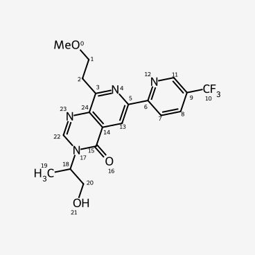 COCCc1nc(-c2ccc(C(F)(F)F)cn2)cc2c(=O)n(C(C)CO)cnc12